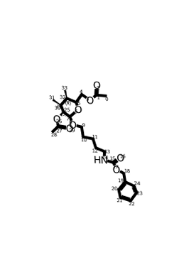 CC(=O)OCC1OC(OCCCCCNC(=O)OCc2ccccc2)[C@@H](OC(C)=O)[C@@H](C)[C@H]1C